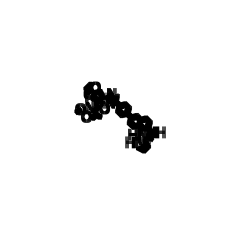 COC(=O)N[C@H](C(=O)N1CC2(C[C@H]1c1ncc(-c3ccc(-c4ccc5c6c(ccc5c4)NC(C)([C@@H]4CCCN4)N6)cc3)[nH]1)OCCO2)C(C)C